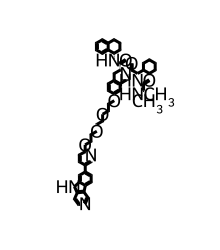 CNC(C)C(=O)NC(C(=O)N1Cc2cc(OCCOCCOCCOc3ccc(-c4ccc5c(c4)[nH]c4ccncc45)cn3)ccc2C[C@@H]1C(=O)N[C@H]1CCCc2ccccc21)C1CCCCC1